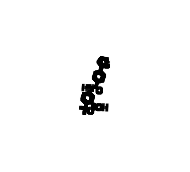 CC1(C)OB(O)c2cc(NC(=O)c3ccc(-c4cccs4)cc3)ccc21